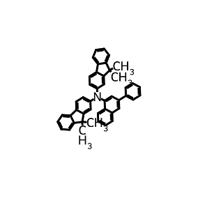 CC1(C)c2ccccc2-c2ccc(N(c3ccc4c(c3)C(C)(C)c3ccccc3-4)c3cc(-c4ccccc4)cc4ccccc34)cc21